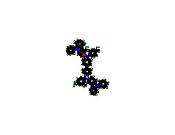 Fc1ccc(N(c2ccc(-c3ccc(N(c4ccc5c(c4)c4ccccc4n5-c4ccccc4)c4ccc(F)cc4F)cc3)cc2)c2ccc3c(c2)c2ccccc2n3-c2ccccc2)c(F)c1